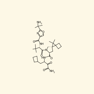 CC(C)(N)c1nc(C(=O)N[C@H](C(=O)N2C[C@]3(C[C@H]2C(=O)NC(CC2CCC2)C(=O)C(N)=O)C(C)(C)C32CCC2)C(C)(C)C)co1